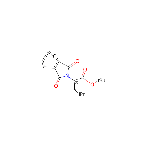 CC(C)C[C@H](C(=O)OC(C)(C)C)N1C(=O)c2ccccc2C1=O